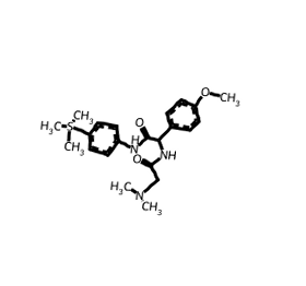 COc1ccc(C(NC(=O)CN(C)C)C(=O)Nc2ccc(S(C)(C)C)cc2)cc1